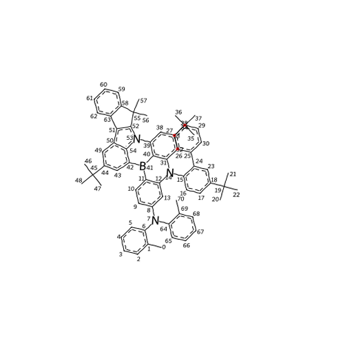 Cc1ccccc1N(c1ccc2c(c1)N(c1ccc(C(C)(C)C)cc1-c1ccccc1)c1cc(C(C)(C)C)cc3c1B2c1cc(C(C)(C)C)cc2c4c(n-3c12)C(C)(C)c1ccccc1-4)c1ccccc1C